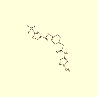 Cn1cc(NC(=O)CN2CCc3sc(-c4noc(C(F)(F)F)n4)cc3C2)cn1